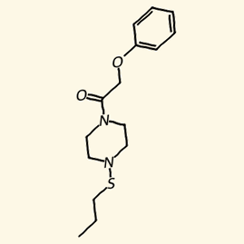 CCCSN1CCN(C(=O)COc2ccccc2)CC1